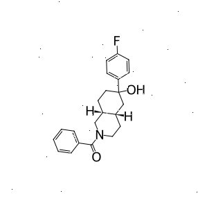 O=C(c1ccccc1)N1CC[C@H]2CC(O)(c3ccc(F)cc3)CC[C@H]2C1